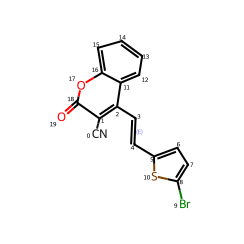 N#Cc1c(/C=C/c2ccc(Br)s2)c2ccccc2oc1=O